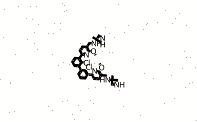 COc1nc(-c2cccc(-c3cccc(-c4ccc(CNC5(C)CNC5)c(OC)n4)c3Cl)c2Cl)ccc1CNC1(C)CNC1